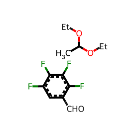 CCOC(C)OCC.O=Cc1cc(F)c(F)c(F)c1F